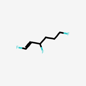 FC=CC(F)CCCF